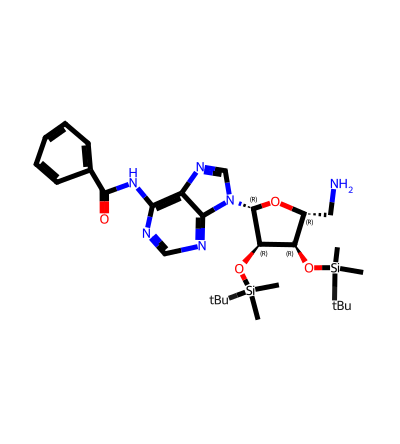 CC(C)(C)[Si](C)(C)O[C@@H]1[C@H](O[Si](C)(C)C(C)(C)C)[C@@H](CN)O[C@H]1n1cnc2c(NC(=O)c3ccccc3)ncnc21